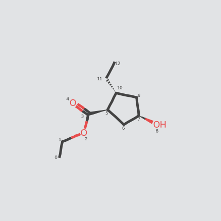 CCOC(=O)[C@@H]1C[C@H](O)C[C@H]1CC